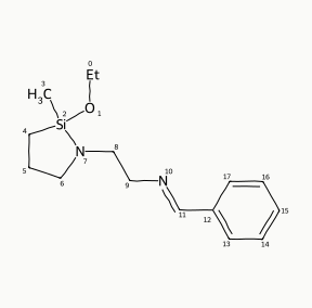 CCO[Si]1(C)CCCN1CCN=Cc1ccccc1